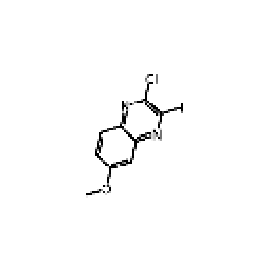 COc1ccc2nc(Cl)c(I)nc2c1